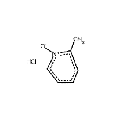 Cc1cccc[n+]1[O-].Cl